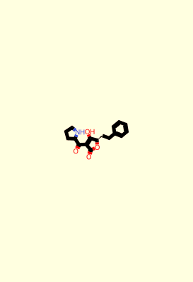 O=C1O[C@@H](CCc2ccccc2)C(O)=C1C(=O)C1CCCN1